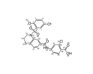 COc1ccc(Cl)cc1S(=O)(=O)N1CCSc2ccc(C(=O)Nc3ccc(C(=O)O)c(Cl)c3)cc21